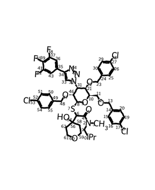 CC(C)CN(C)C(=O)C(S[C@@H]1O[C@H](COCc2ccc(Cl)cc2)[C@H](OCc2ccc(Cl)cc2)[C@H](n2cc(-c3cc(F)c(F)c(F)c3)nn2)[C@H]1OCc1ccc(Cl)cc1)C1(O)CCOCC1